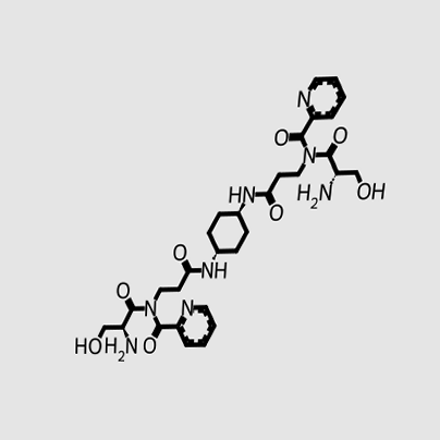 N[C@@H](CO)C(=O)N(CCC(=O)N[C@H]1CC[C@H](NC(=O)CCN(C(=O)c2ccccn2)C(=O)[C@@H](N)CO)CC1)C(=O)c1ccccn1